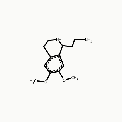 COc1cc2c(cc1OC)C(CCN)NCC2